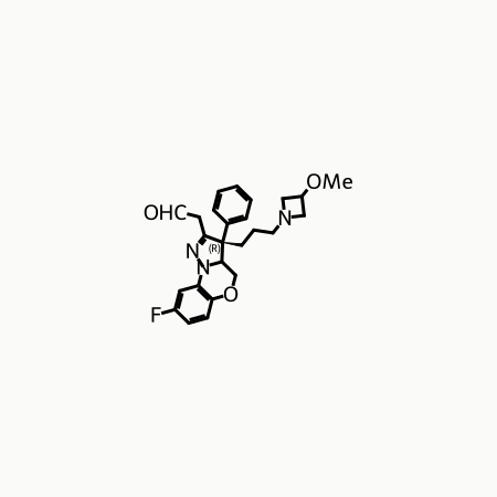 COC1CN(CCC[C@]2(c3ccccc3)C(CC=O)=NN3c4cc(F)ccc4OCC32)C1